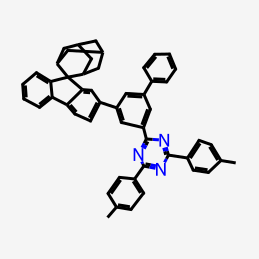 Cc1ccc(-c2nc(-c3ccc(C)cc3)nc(-c3cc(-c4ccccc4)cc(-c4ccc5c(c4)C4(c6ccccc6-5)C5CC6CC(C5)CC4C6)c3)n2)cc1